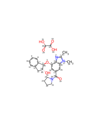 Cc1nc2c(O[C@@H]3c4ccccc4C[C@H]3O)cc(C(=O)N3CCCC3)cc2n1C.O=C(O)C(=O)O